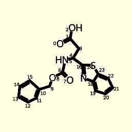 O=C(O)CC(NC(=O)OCc1ccccc1)c1nc2ccccc2s1